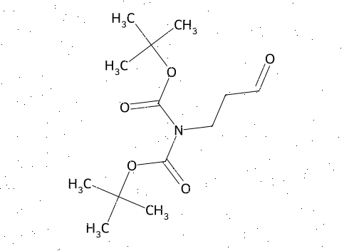 CC(C)(C)OC(=O)N(CCC=O)C(=O)OC(C)(C)C